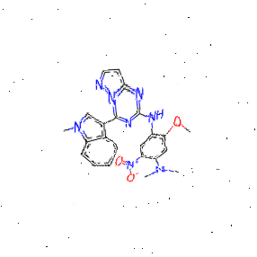 COc1cc(N(C)C)c([N+](=O)[O-])cc1Nc1nc(-c2cn(C)c3ccccc23)n2nccc2n1